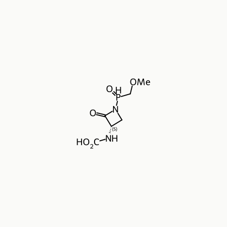 COC[PH](=O)N1C[C@H](NC(=O)O)C1=O